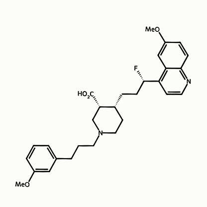 COc1cccc(CCCN2CC[C@@H](CC[C@H](F)c3ccnc4ccc(OC)cc34)[C@@H](C(=O)O)C2)c1